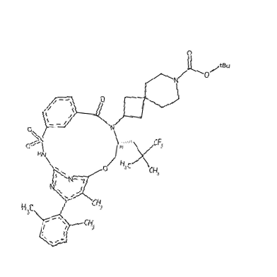 Cc1cccc(C)c1-c1nc2nc(c1C)OC[C@@H](CC(C)(C)C(F)(F)F)N(C1CC3(CCN(C(=O)OC(C)(C)C)CC3)C1)C(=O)c1cccc(c1)S(=O)(=O)N2